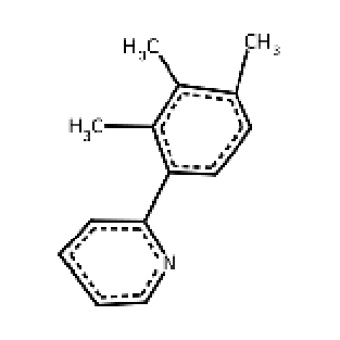 Cc1ccc(-c2ccccn2)c(C)c1C